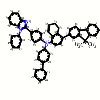 CC1(C)c2ccccc2-c2ccc(-c3ccc(N(c4ccc(-c5ccccc5)cc4)c4ccc(-c5nc6ccccc6n5-c5ccccc5)cc4)c4c3CCC=C4)cc21